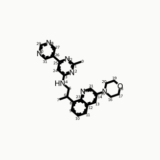 Cc1nc(NCC(C)c2cccc3cc(N4CCOCC4)cnc23)cc(-c2cncnc2)n1